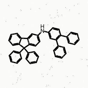 c1ccc(-c2ccc(Nc3ccc4c(c3)-c3ccccc3C4(c3ccccc3)c3ccccc3)cc2-c2ccccc2)cc1